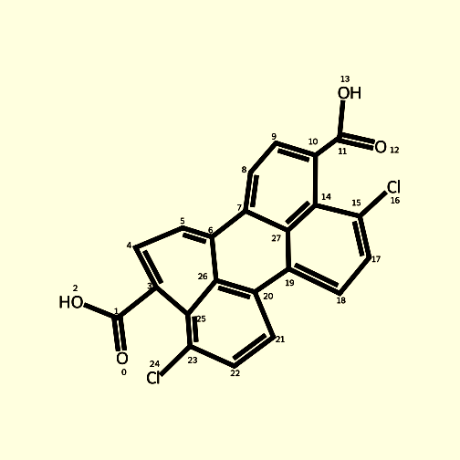 O=C(O)c1ccc2c3ccc(C(=O)O)c4c(Cl)ccc(c5ccc(Cl)c1c52)c43